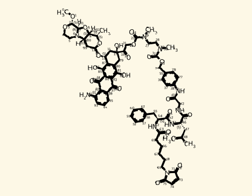 CO[C@H]1OCCN2[C@@H]1O[C@@H]1[C@H](C)OC(O[C@H]3C[C@](O)(C(=O)COC(=O)N(C)CCN(C)C(=O)OCc4ccc(NC(=O)CNC(=O)[C@H](CC(C)C)NC(=O)[C@H](Cc5ccccc5)NC(=O)CCCCCN5C(=O)C=CC5=O)cc4)Cc4c(O)c5c(c(O)c43)C(=O)c3c(N)cccc3C5=O)C[C@@H]12